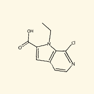 CCn1c(C(=O)O)cc2ccnc(Cl)c21